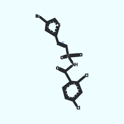 O=C(NS(=O)(=O)/C=C/c1cc(Br)cs1)c1ccc(Cl)cc1Cl